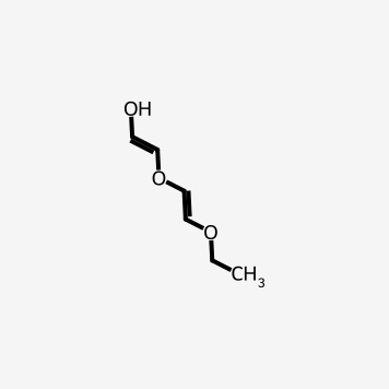 CCOC=COC=CO